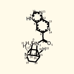 C[C@H]1[C@H](NC(=O)c2cc3[nH]cnc3cn2)C2CCN1CC2